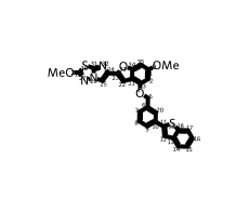 COc1cc(OCc2cccc(-c3cc4ccccc4s3)c2)c2cc(-c3cn4nc(OC)sc4n3)oc2c1